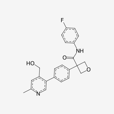 Cc1cc(CO)c(-c2ccc(C3(C(=O)Nc4ccc(F)cc4)COC3)cc2)cn1